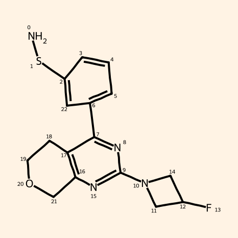 NSc1cccc(-c2nc(N3CC(F)C3)nc3c2CCOC3)c1